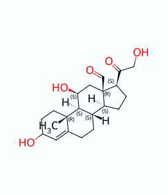 C[C@]12CCC(O)C=C1CC[C@@H]1[C@@H]2[C@@H](O)C[C@]2(C=O)[C@@H](C(=O)CO)CC[C@@H]12